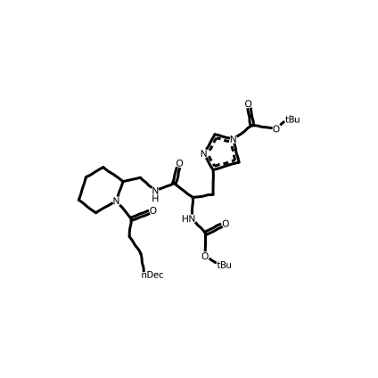 CCCCCCCCCCCCC(=O)N1CCCCC1CNC(=O)C(Cc1cn(C(=O)OC(C)(C)C)cn1)NC(=O)OC(C)(C)C